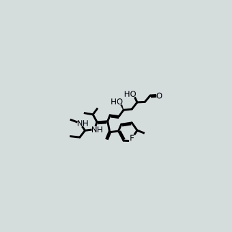 C=C(C(/C=C/[C@@H](O)CC(O)CC=O)=C(\NC(CC)NC)C(C)C)C(/C=C\C(C)F)=C/C